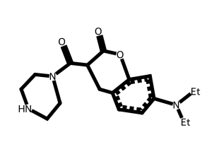 CCN(CC)c1ccc2c(c1)OC(=O)C(C(=O)N1CCNCC1)C2